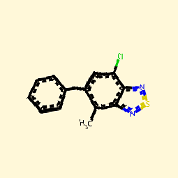 Cc1c(-c2ccccc2)cc(Cl)c2nsnc12